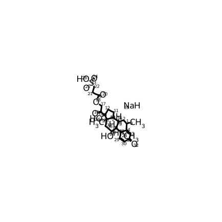 CC1C[C@@H]2[C@H](C(O)C[C@@]3(C)[C@H]2CC[C@]3(O)C(=O)COC(=O)CCS(=O)(=O)O)[C@@]2(C)C=CC(=O)C=C12.[NaH]